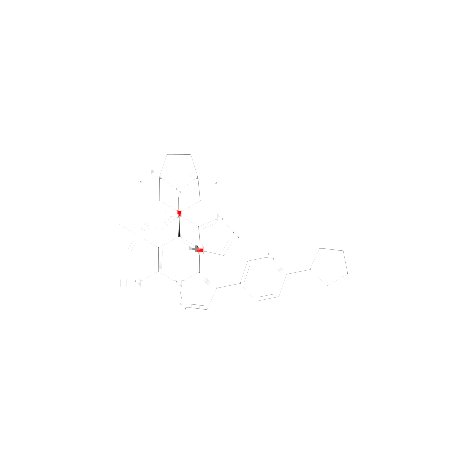 CS(=O)(=O)c1c([C@H]2C[C@H]3CC[C@@H](C2)N3C(=O)c2nnc[nH]2)nc2c(-c3ccc(C4CCCC4)nc3)cnn2c1N